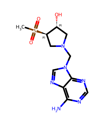 CS(=O)(=O)[C@@H]1CN(Cn2cnc3c(N)ncnc32)C[C@H]1O